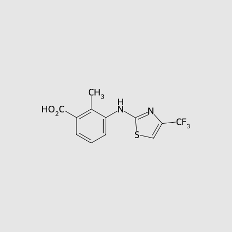 Cc1c(Nc2nc(C(F)(F)F)cs2)cccc1C(=O)O